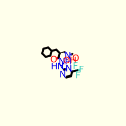 O=CN(O)C[C@H](CC1CCCCC1)C(=O)NNc1nccc(C(F)(F)F)n1